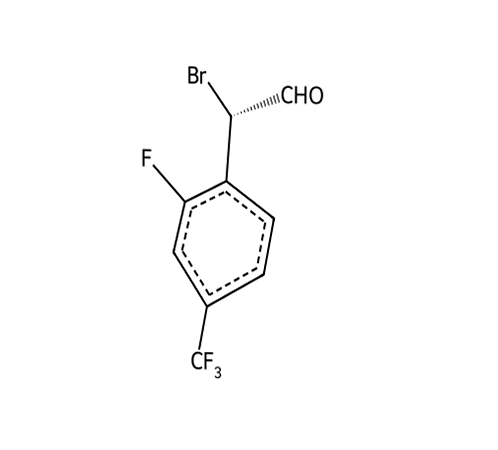 O=C[C@@H](Br)c1ccc(C(F)(F)F)cc1F